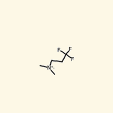 C[N+](C)CCC(F)(F)F